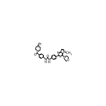 CC(C)N1CCN(C(=O)c2ccc(NC(=O)Nc3ccc(-c4nc(N5CCOCC5)c5c(ccn5C)n4)cc3)cc2)CC1